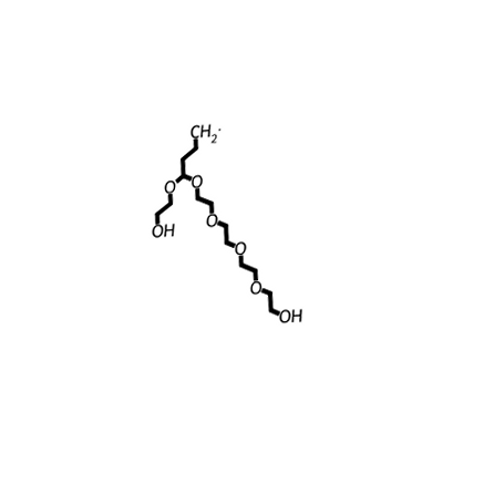 [CH2]CCC(OCCO)OCCOCCOCCOCCO